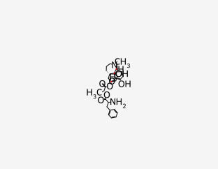 C[C@H](OC(=O)[C@@H](N)Cc1ccccc1)C(=O)OC1=CC[C@@]2(O)[C@H]3Cc4ccc(O)c5c4[C@@]2(CCCN3C)[C@H]1O5